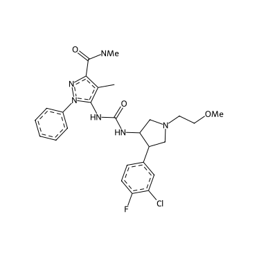 CNC(=O)c1nn(-c2ccccc2)c(NC(=O)NC2CN(CCOC)CC2c2ccc(F)c(Cl)c2)c1C